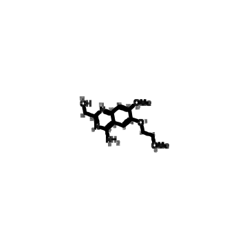 COCCOc1cc2c(N)nc(CO)nc2cc1OC